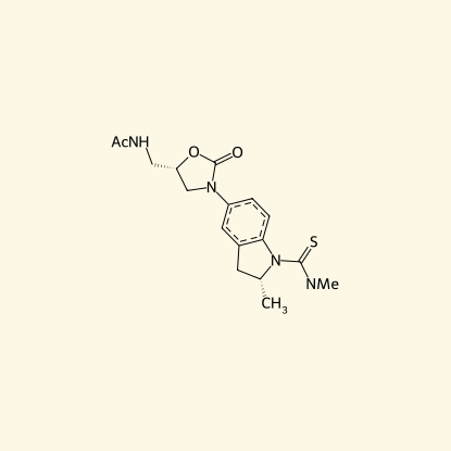 CNC(=S)N1c2ccc(N3C[C@H](CNC(C)=O)OC3=O)cc2C[C@H]1C